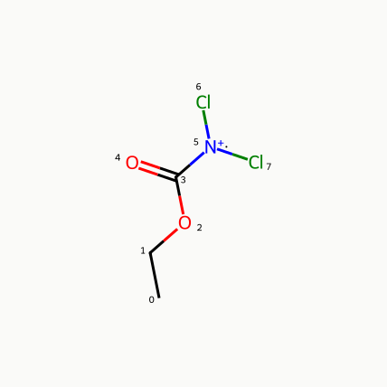 CCOC(=O)[N+](Cl)Cl